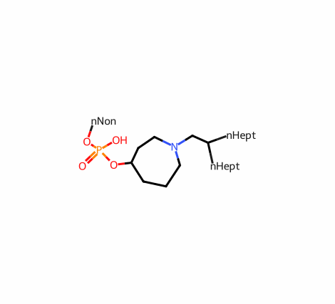 CCCCCCCCCOP(=O)(O)OC1CCCN(CC(CCCCCCC)CCCCCCC)CC1